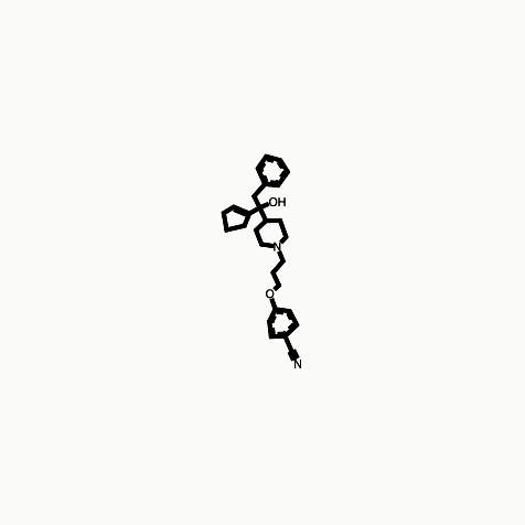 N#Cc1ccc(OCCCN2CCC(C(O)(Cc3ccccc3)C3=CCCC3)CC2)cc1